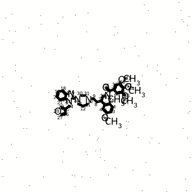 COc1cccc(C(CCN2CCCN(c3nc4ccccc4n3Cc3ccoc3)CC2)CN(C)C(=O)c2cc(OC)c(OC)c(OC)c2)c1